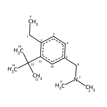 CCc1ccc(CN(C)C)cc1C(C)(C)C